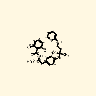 CC(C)(CCNc1ccccn1)Nc1ccc(C[C@H](NC(=O)c2c(Cl)cccc2Cl)C(=O)O)cc1